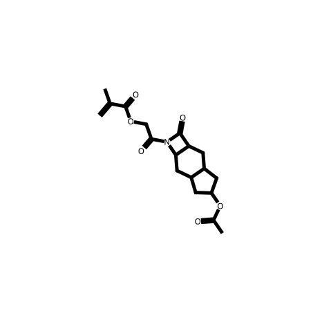 C=C(C)C(=O)OCC(=O)N1C(=O)C2CC3CC(OC(C)=O)CC3CC21